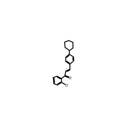 O=C(/C=C/c1ccc(C2CCCCC2)cc1)c1ccccc1Cl